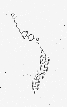 CCCCCCCCc1cnc(-c2ccc(OCCCCOCC(F)(F)C(F)(F)C(F)(F)C(F)(F)C(F)(F)OC(F)(F)C(F)(F)OC(F)(F)C(F)(F)C(F)(F)C(F)(F)F)cc2)nc1